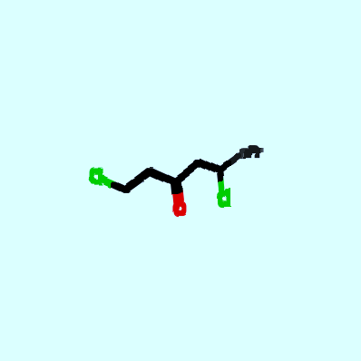 CCCC(Cl)CC(=O)CCCl